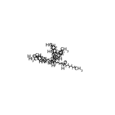 CCCCCCCC(=O)NCCCCC(NC(=O)C(N)Cc1c[nH]c(-c2ccc(C(C)(C)C)cc2)n1)C(=O)NC(Cc1ccc(C)cc1)C(=O)NC(Cc1ccc(O)cc1)C(=O)O